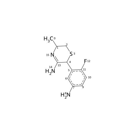 CC1CSC(c2cc(N)ccc2F)C(N)=N1